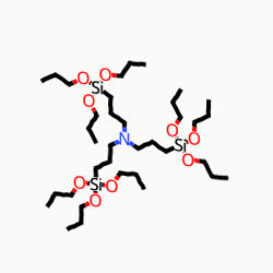 CCCO[Si](CCCN(CCC[Si](OCCC)(OCCC)OCCC)CCC[Si](OCCC)(OCCC)OCCC)(OCCC)OCCC